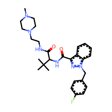 CN1CCN(CCNC(=O)C(NC(=O)c2nn(Cc3ccc(F)cc3)c3ccccc23)C(C)(C)C)CC1